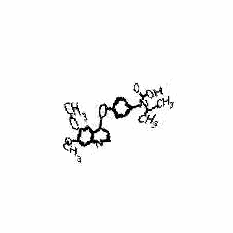 COc1cc2nccc(Oc3ccc(N(C(=O)O)C(C)C)cc3)c2cc1OC